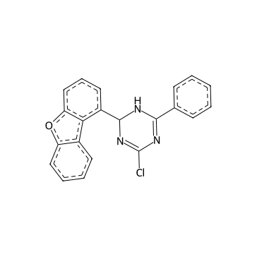 ClC1=NC(c2cccc3oc4ccccc4c23)NC(c2ccccc2)=N1